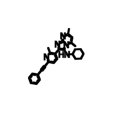 Cc1cc(C)n2c(NC3CCCCC3)c(-c3ccc(C#Cc4ccccc4)nc3C)nc2n1